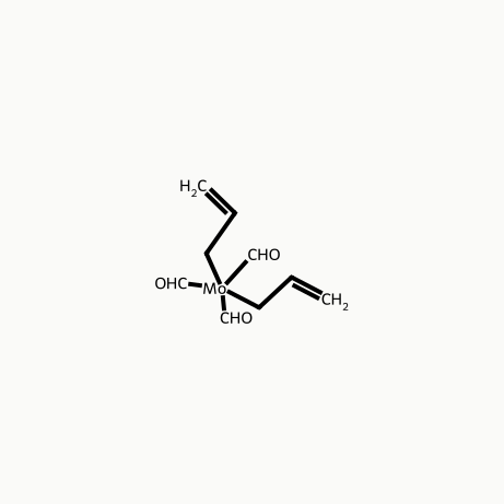 C=C[CH2][Mo]([CH]=O)([CH]=O)([CH]=O)[CH2]C=C